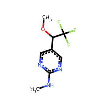 CNc1ncc(C(OC)C(F)(F)F)cn1